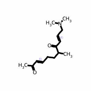 CC(=O)/C=C/CCC(C)C(=O)/C=C/CN(C)C